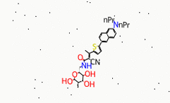 CCCN(CCC)c1ccc2cc(-c3ccc(/C(C)=C(\C#N)C(=O)NC[C@H]4OC(O)[C@H](C)[C@@H](O)[C@@H]4O)s3)ccc2c1